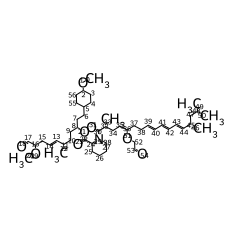 COC1CCC(CCC(CC[C@H](C)/C=C/C[C@H](C=O)OC)OC(=O)C2CCCCN2C(=O)[C@H](C)CCC(CC/C=C/C=C/C=C/[C@@H](C)CC(C)C)OCC=O)CC1